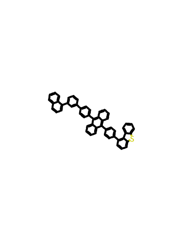 c1cc(-c2ccc(-c3c4ccccc4c(-c4ccc(-c5cccc6sc7ccccc7c56)cc4)c4ccccc34)cc2)cc(-c2cccc3ccccc23)c1